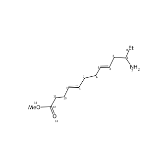 CCC(N)CC=CCCC=CCCC(=O)OC